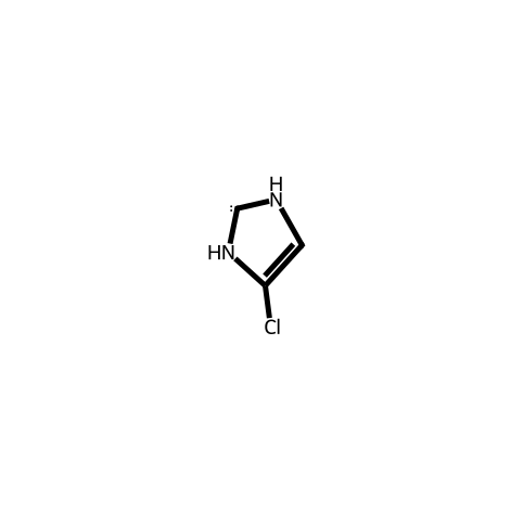 ClC1=CN[C]N1